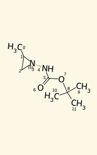 CC1C[N@@]1NC(=O)OC(C)(C)C